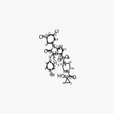 C[C@@]1(Cc2ccc(Br)cc2)C(=O)N(c2cc(Cl)cc(Cl)c2)c2ncc(S(=O)(=O)N3CCN(C(=O)C4(O)CC4)CC3)n21